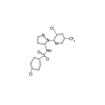 O=S(=O)(Nc1ccnn1-c1ncc(C(F)(F)F)cc1Cl)c1ccc(Cl)cc1